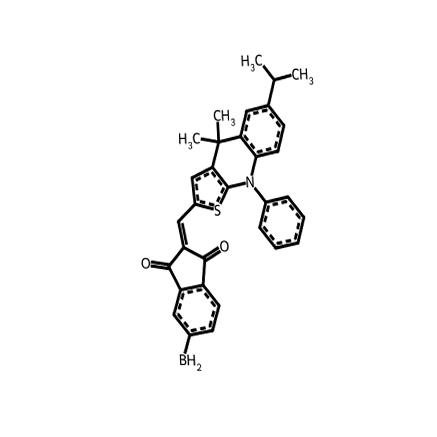 Bc1ccc2c(c1)C(=O)/C(=C/c1cc3c(s1)N(c1ccccc1)c1ccc(C(C)C)cc1C3(C)C)C2=O